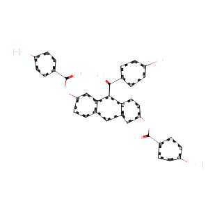 O=C(Oc1ccc2c(C(=O)c3ccc(O)cc3)c3cc(OC(=O)c4ccc(O)cc4)ccc3cc2c1)c1ccc(O)cc1